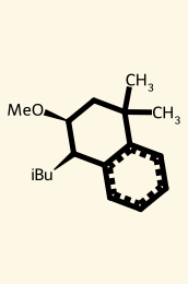 CC[C@H](C)C1c2ccccc2C(C)(C)C[C@@H]1OC